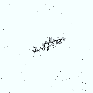 CCN(CC)CCOc1ncc(NC(=O)Nc2cc(CF)on2)cc1F